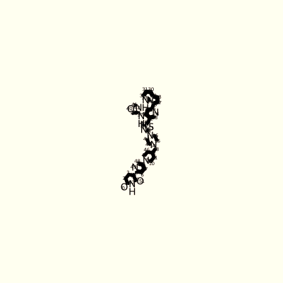 O=C1CC[C@@H](c2ccc(N3CCC(CN4CCN(c5nnc(-c6cnc(-c7ccc8cccnn78)cc6NC6COCN6)s5)CC4)CC3)cn2)C(=O)N1